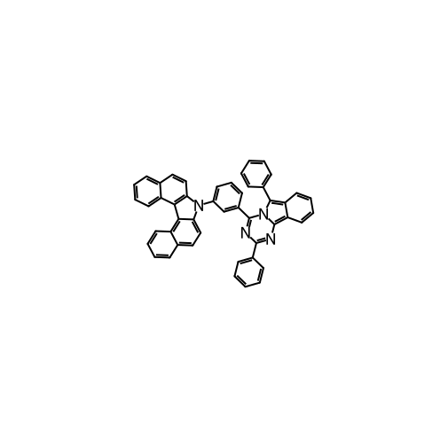 c1ccc(-c2nc(-c3cccc(-n4c5ccc6ccccc6c5c5c6ccccc6ccc54)c3)n3c(-c4ccccc4)c4ccccc4c3n2)cc1